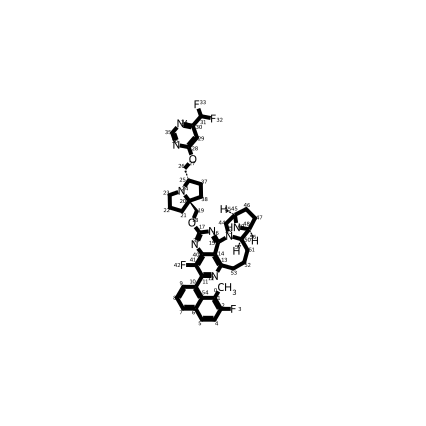 Cc1c(F)ccc2cccc(-c3nc4c5c(nc(OC[C@@]67CCCN6[C@H](COc6cc(C(F)F)ncn6)CC7)nc5c3F)N3C[C@H]5CC[C@H](N5)[C@H]3CCC4)c12